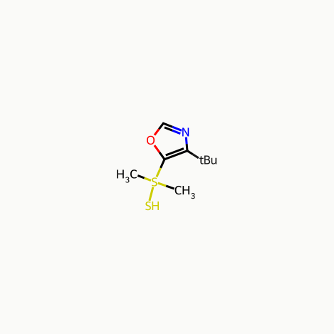 CC(C)(C)c1ncoc1S(C)(C)S